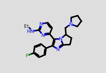 CCNc1nccc(-c2c(-c3ccc(F)cc3)nc3n2C(CN2CCCC2)CC3)n1